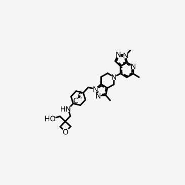 Cc1cc(N2CCc3c(c(C)nn3CC34CCC(NCC5(CO)COC5)(CC3)CC4)C2)c2cnn(C)c2n1